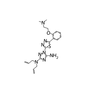 C=CCN(CC=C)c1nc(N)n(-c2nnc(-c3ccccc3OCCN(C)C)s2)n1